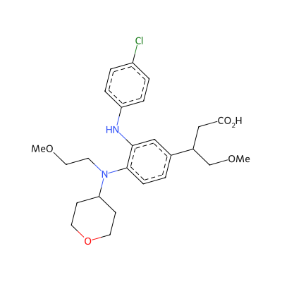 COCCN(c1ccc(C(COC)CC(=O)O)cc1Nc1ccc(Cl)cc1)C1CCOCC1